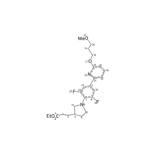 CCOC(=O)CCC1CCN(c2c(F)cc(-c3cccc(OCCCOC)n3)cc2F)C1